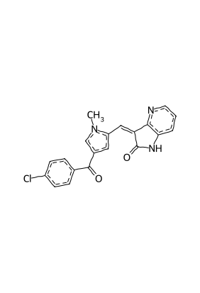 Cn1cc(C(=O)c2ccc(Cl)cc2)cc1C=C1C(=O)Nc2cccnc21